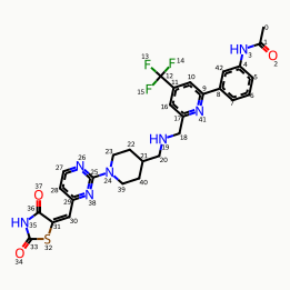 CC(=O)Nc1cccc(-c2cc(C(F)(F)F)cc(CNCC3CCN(c4nccc(C=C5SC(=O)NC5=O)n4)CC3)n2)c1